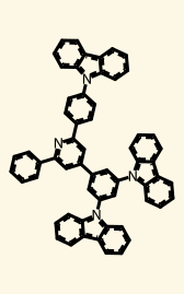 c1ccc(-c2cc(-c3cc(-n4c5ccccc5c5ccccc54)cc(-n4c5ccccc5c5ccccc54)c3)cc(-c3ccc(-n4c5ccccc5c5ccccc54)cc3)n2)cc1